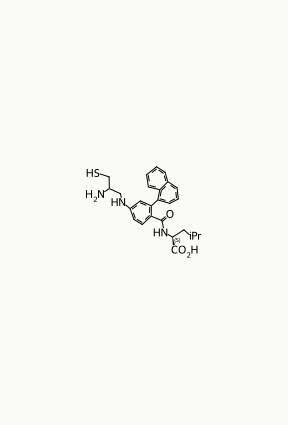 CC(C)C[C@H](NC(=O)c1ccc(NCC(N)CS)cc1-c1cccc2ccccc12)C(=O)O